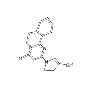 O=c1cc(N2C=C(O)CC2)nc2c3ccccc3ccn12